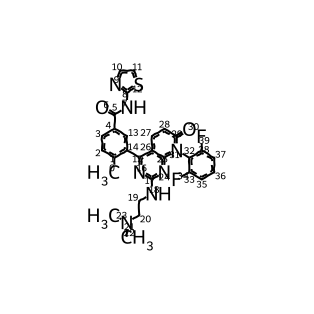 Cc1ccc(C(=O)Nc2nccs2)cc1-c1nc(NCCN(C)C)nc2c1ccc(=O)n2-c1c(F)cccc1F